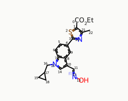 CCOC(=O)c1sc(-c2ccc3c(c2)c(/C=N/O)cn3CC2CC2)nc1C